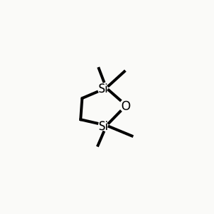 C[Si]1(C)CC[Si](C)(C)O1